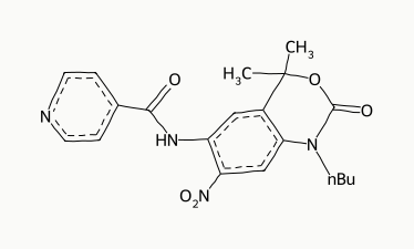 CCCCN1C(=O)OC(C)(C)c2cc(NC(=O)c3ccncc3)c([N+](=O)[O-])cc21